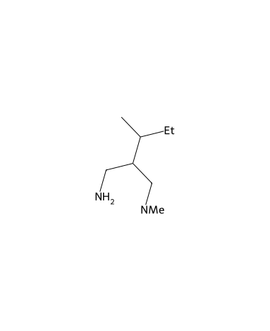 CCC(C)C(CN)CNC